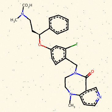 CN(CC[C@H](Oc1ccc(CN2CCN(C)c3ccncc3C2=O)c(F)c1)c1ccccc1)C(=O)O